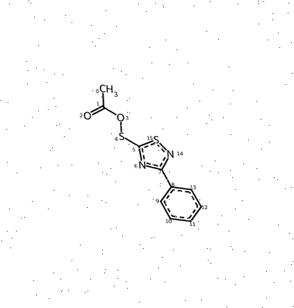 CC(=O)OSc1nc(-c2ccccc2)ns1